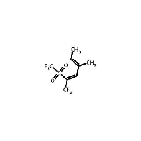 CC=C(C)/C=C(/C(F)(F)F)S(=O)(=O)C(F)(F)F